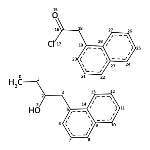 CCC(O)Cc1cccc2ccccc12.O=C(Cl)Cc1cccc2ccccc12